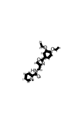 CCOc1ccc(-c2nc(CNC(=O)c3ccccn3)co2)cc1OCC